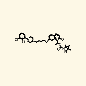 CC(C)N(C(=O)OC(C)n1c(=O)ccc2ccc(OCCCCN3CCN(c4cccc(Cl)c4Cl)CC3)cc21)C1(C)CC1(C)C